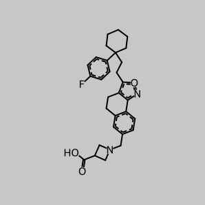 O=C(O)C1CN(Cc2ccc3c(c2)CCc2c-3noc2CCC2(c3ccc(F)cc3)CCCCC2)C1